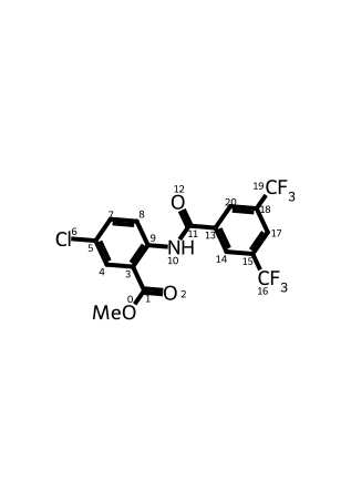 COC(=O)c1cc(Cl)ccc1NC(=O)c1cc(C(F)(F)F)cc(C(F)(F)F)c1